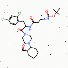 CC(C)(C)OC(=O)NCCC(=O)NC(Cc1ccc(Cl)cc1Cl)C(=O)N1CCN(C2CCCCCC2C=O)CC1